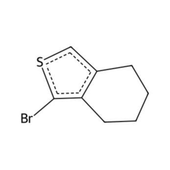 Brc1scc2c1CCCC2